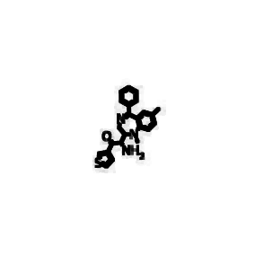 Cc1ccc2c(c1)C(c1ccccc1)=NCC(C(N)C(=O)c1ccsc1)N2C